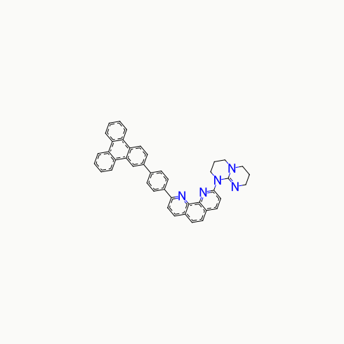 c1ccc2c(c1)c1ccccc1c1cc(-c3ccc(-c4ccc5ccc6ccc(N7CCCN8CCCN=C87)nc6c5n4)cc3)ccc21